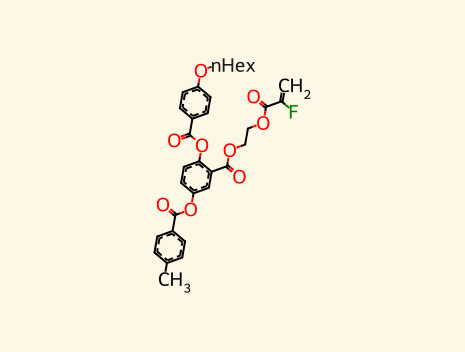 C=C(F)C(=O)OCCOC(=O)c1cc(OC(=O)c2ccc(C)cc2)ccc1OC(=O)c1ccc(OCCCCCC)cc1